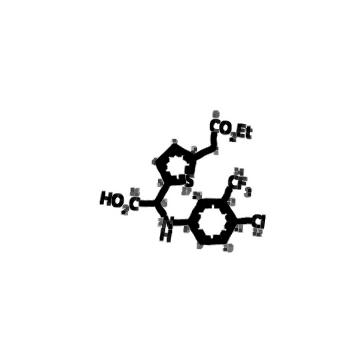 CCOC(=O)Cc1ccc(C(Nc2ccc(Cl)c(C(F)(F)F)c2)C(=O)O)s1